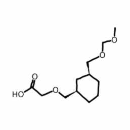 COCOC[C@H]1CCC[C@@H](COCC(=O)O)C1